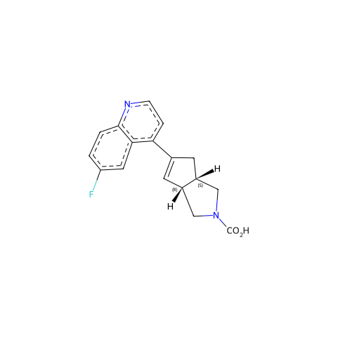 O=C(O)N1C[C@H]2CC(c3ccnc4ccc(F)cc34)=C[C@H]2C1